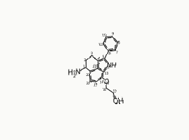 NC1CCc2c(-c3ccccc3)[nH]c3c(OCCO)ccc1c23